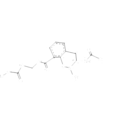 CCCCOC(=O)OCOC(=O)c1cccc2c1OB(O)[C@@H](NC(=O)CC)C2